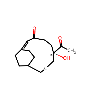 CC(=O)[C@@]1(O)CCCC2CCC(=CC(=O)CC1)CC2